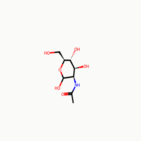 CC(=O)N[C@H]1C(O)O[C@@H](CO)[C@H](O)[C@H]1O